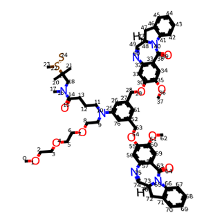 COCCOCCOCCN(CCCC(=O)N(C)CC(C)(C)S(C)=S)c1cc(COc2cc3c(cc2OC)C(=O)N2c4ccccc4C[C@H]2C=N3)cc(COc2cc3c(cc2OC)C(=O)N2c4ccccc4C[C@H]2C=N3)c1